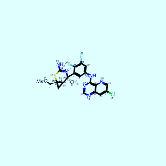 COC[C@]12C[C@H]1[C@](C)(c1cc(Nc3ncnc4cc(Cl)cnc34)cc(F)c1F)N=C(N)S2